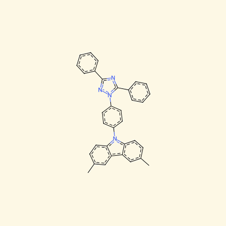 Cc1ccc2c(c1)c1cc(C)ccc1n2-c1ccc(-n2nc(-c3ccccc3)nc2-c2ccccc2)cc1